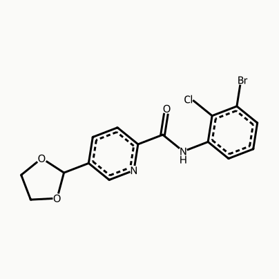 O=C(Nc1cccc(Br)c1Cl)c1ccc(C2OCCO2)cn1